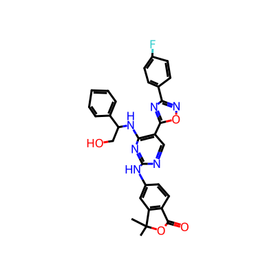 CC1(C)OC(=O)c2ccc(Nc3ncc(-c4nc(-c5ccc(F)cc5)no4)c(NC(CO)c4ccccc4)n3)cc21